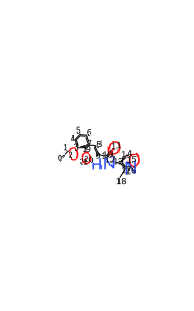 CCOc1cccc(/C=C/C(=O)Nc2conc2C)c1OC